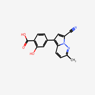 Cc1ccc2c(-c3ccc(C(=O)O)c(O)c3)cc(C#N)n2n1